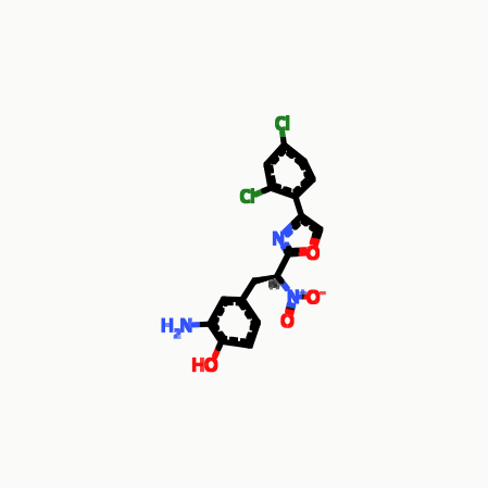 Nc1cc(C[C@@H](c2nc(-c3ccc(Cl)cc3Cl)co2)[N+](=O)[O-])ccc1O